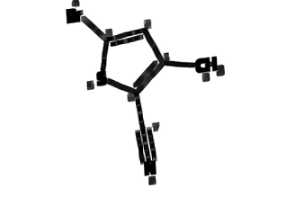 Cc1cc(Br)sc1C#N